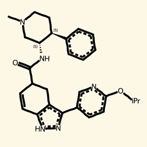 CC(C)Oc1ccc(-c2n[nH]c3c2CC(C(=O)N[C@@H]2CN(C)CC[C@H]2c2ccccc2)C=C3)cn1